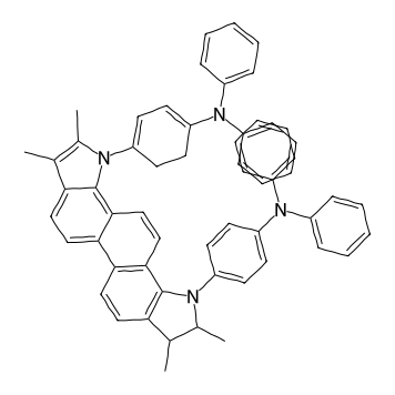 Cc1c(C)n(C2=CC=C(N(c3ccccc3)c3ccccc3)CC2)c2c1ccc1c3ccc4c(c3ccc12)N(c1ccc(N(c2ccccc2)c2ccccc2)cc1)C(C)C4C